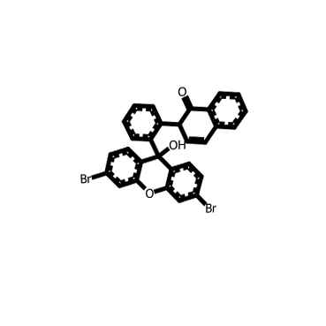 O=C1c2ccccc2C=CC1c1ccccc1C1(O)c2ccc(Br)cc2Oc2cc(Br)ccc21